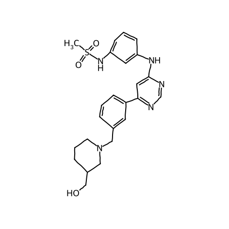 CS(=O)(=O)Nc1cccc(Nc2cc(-c3cccc(CN4CCCC(CO)C4)c3)ncn2)c1